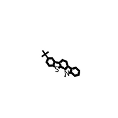 Cn1c2ccccc2c2ccc3c4cc(C(C)(C)C)ccc4sc3c21